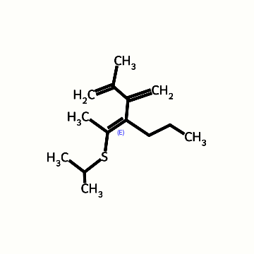 C=C(C)C(=C)/C(CCC)=C(\C)SC(C)C